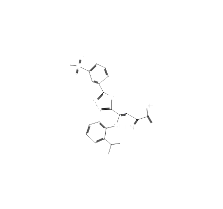 C=C(O)C(=N)/C=C(\Nc1ccccc1C(C)C)c1nnc(-c2cccc(S(C)(=O)=O)c2)o1